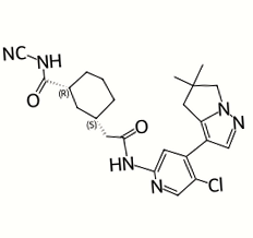 CC1(C)Cc2c(-c3cc(NC(=O)C[C@H]4CCC[C@@H](C(=O)NC#N)C4)ncc3Cl)cnn2C1